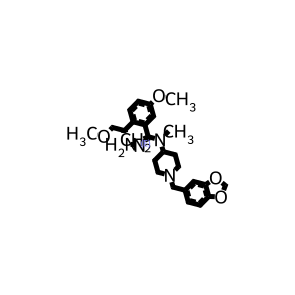 C=C(COC)c1ccc(OC)cc1/C(=N\N)N(C)C1CCN(Cc2ccc3c(c2)OCO3)CC1